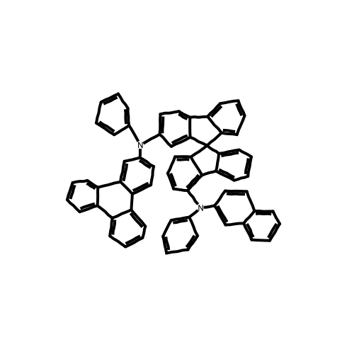 c1ccc(N(c2ccc3c(c2)C2(c4ccccc4-3)c3ccccc3-c3c(N(c4ccccc4)c4ccc5ccccc5c4)cccc32)c2ccc3c4ccccc4c4ccccc4c3c2)cc1